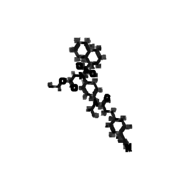 CCOC(=O)CN(c1ccc(N(CC)C(=O)CCc2ccc(C#N)cc2)cc1)S(=O)(=O)c1cccc2ccccc12